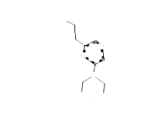 CCCc1cncc(N(CC)CC)n1